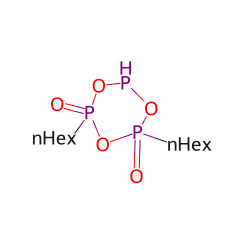 CCCCCCP1(=O)OPOP(=O)(CCCCCC)O1